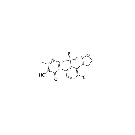 Cc1nnc(-c2ccc(Cl)c(C3=NOCC3)c2C(F)(F)F)c(=O)n1O